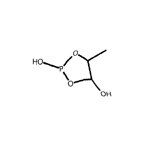 CC1OP(O)OC1O